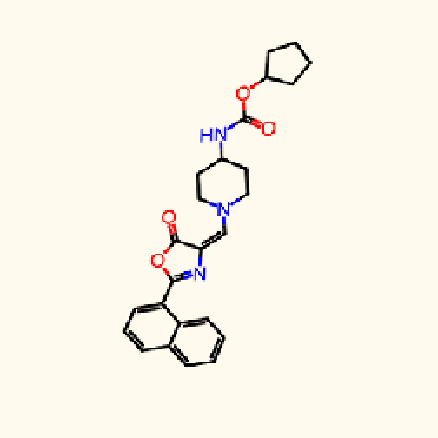 O=C(NC1CCN(/C=C2/N=C(c3cccc4ccccc34)OC2=O)CC1)OC1CCCC1